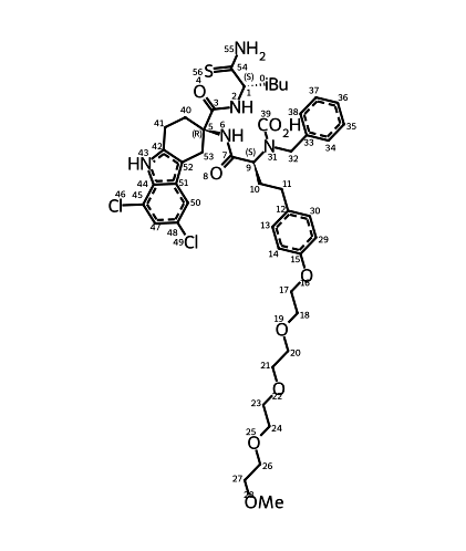 CCC(C)[C@H](NC(=O)[C@@]1(NC(=O)[C@H](CCc2ccc(OCCOCCOCCOCCOC)cc2)N(Cc2ccccc2)C(=O)O)CCc2[nH]c3c(Cl)cc(Cl)cc3c2C1)C(N)=S